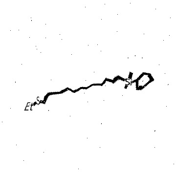 CCSCCCCCCCCCCCC[Si](C)(C)c1ccccc1